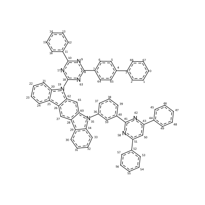 c1ccc(-c2ccc(-c3nc(-c4ccccc4)nc(-n4c5ccccc5c5cc6c7ccccc7n(-c7cccc(-c8nc(-c9ccccc9)cc(-c9ccccc9)n8)c7)c6cc54)n3)cc2)cc1